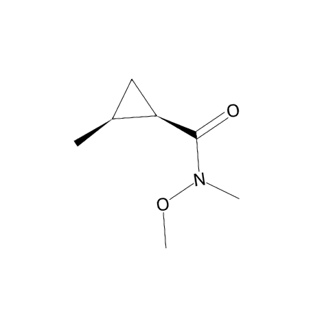 CON(C)C(=O)[C@@H]1C[C@@H]1C